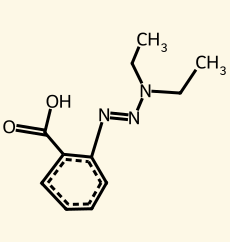 CCN(CC)N=Nc1ccccc1C(=O)O